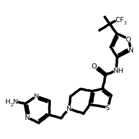 CC(C)(c1cc(NC(=O)c2csc3c2CCN(Cc2cnc(N)nc2)C3)no1)C(F)(F)F